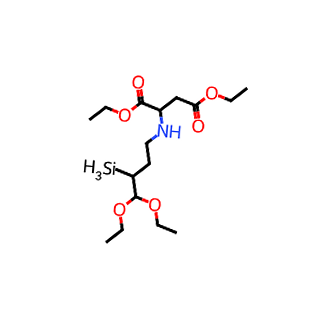 CCOC(=O)CC(NCCC([SiH3])C(OCC)OCC)C(=O)OCC